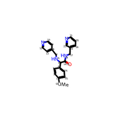 COc1ccc(C(NCc2ccncc2)C(=O)NCc2cccnc2)cc1